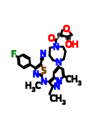 CCc1nn2c(C)cc(N3CCCN(C(=O)[C@@H]4COC[C@H]4O)CCC3)cc2c1N(C)c1nc(-c2ccc(F)cc2)c(C#N)s1